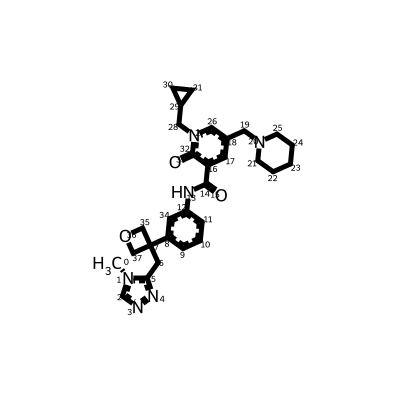 Cn1cnnc1CC1(c2cccc(NC(=O)c3cc(CN4CCCCC4)cn(CC4CC4)c3=O)c2)COC1